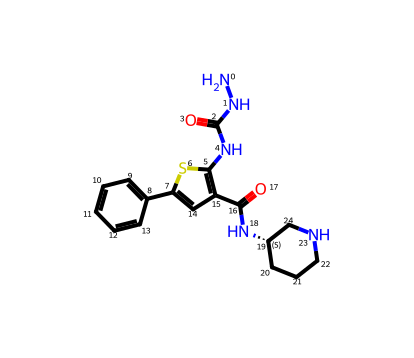 NNC(=O)Nc1sc(-c2ccccc2)cc1C(=O)N[C@H]1CCCNC1